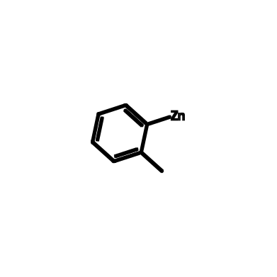 Cc1cccc[c]1[Zn]